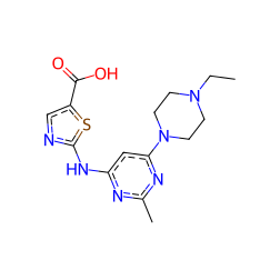 CCN1CCN(c2cc(Nc3ncc(C(=O)O)s3)nc(C)n2)CC1